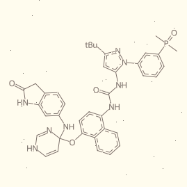 CC(C)(C)c1cc(NC(=O)Nc2ccc(OC3(Nc4ccc5c(c4)NC(=O)C5)C=CNC=N3)c3ccccc23)n(-c2cccc(P(C)(C)=O)c2)n1